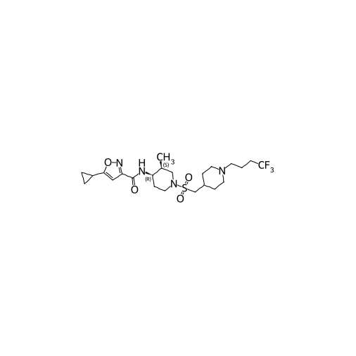 C[C@H]1CN(S(=O)(=O)CC2CCN(CCCC(F)(F)F)CC2)CC[C@H]1NC(=O)c1cc(C2CC2)on1